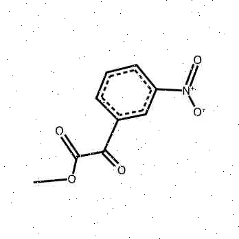 COC(=O)C(=O)c1cccc([N+](=O)[O-])c1